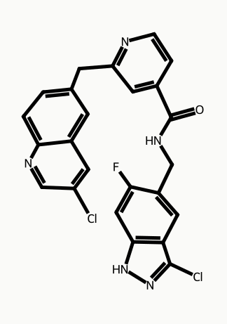 O=C(NCc1cc2c(Cl)n[nH]c2cc1F)c1ccnc(Cc2ccc3ncc(Cl)cc3c2)c1